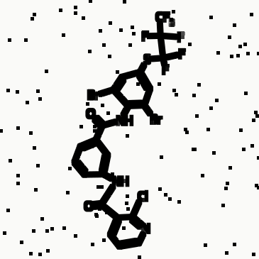 O=C(Nc1c(Br)cc(SC(F)(F)C(F)(F)C(F)(F)F)cc1Br)c1cccc(NC(=O)c2cccnc2Cl)c1